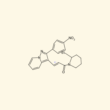 CCC1CCCCN1C(=O)/C=C/c1c(-c2ccc([N+](=O)[O-])cc2)nn2ccccc12